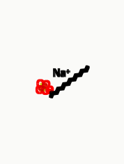 CCCCCCCCCCCCC(C)OOS(=O)(=O)[O-].[Na+]